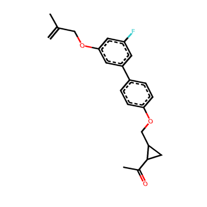 C=C(C)COc1cc(F)cc(-c2ccc(OCC3CC3C(C)=O)cc2)c1